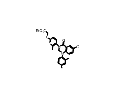 CCOC(=O)COc1ccc(N2CN(c3ccc(F)cc3C)c3ccc(Cl)cc3C2=O)c(C)n1